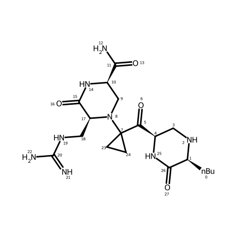 CCCC[C@@H]1NC[C@H](C(=O)C2(N3C[C@H](C(N)=O)NC(=O)[C@@H]3CNC(=N)N)CC2)NC1=O